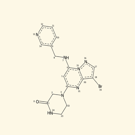 O=C1CN(c2cc(NCc3cccnc3)n3ncc(Br)c3n2)CCN1